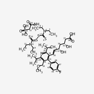 CCN(CC)C(=S)SSC(=S)N(CC)CC.COCc1c(C(C)C)nc(C(C)C)c(/C=C/[C@@H](O)C[C@@H](O)CC(=O)O)c1-c1ccc(F)cc1.NC(=O)CP(=O)(O)O